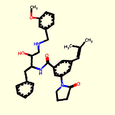 COc1cccc(CNCC(O)C(Cc2ccccc2)NC(=O)c2cc(C=C(C)C)cc(N3CCCC3=O)c2)c1